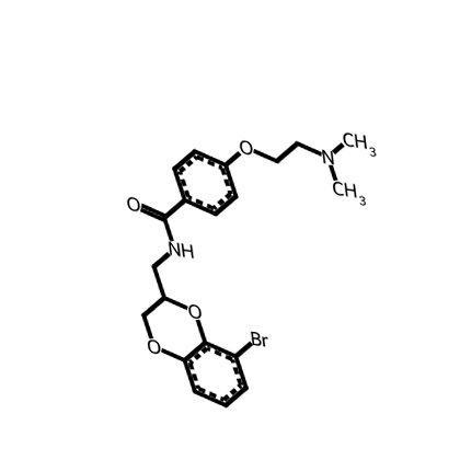 CN(C)CCOc1ccc(C(=O)NCC2COc3cccc(Br)c3O2)cc1